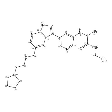 CC(C)C(Nc1cncc(-c2c[nH]c3ncc(COCCN4CCCC4)cc23)c1)C(=O)NCC(F)(F)F